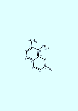 Cc1cnc2ccc(Cl)cc2c1N